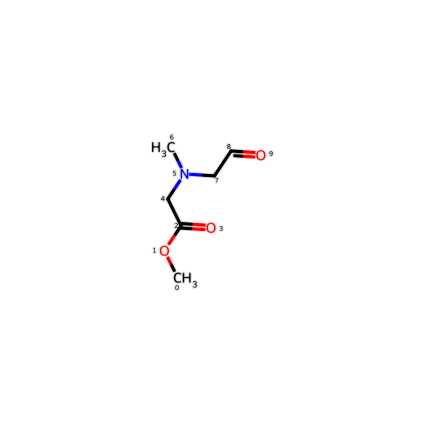 COC(=O)CN(C)CC=O